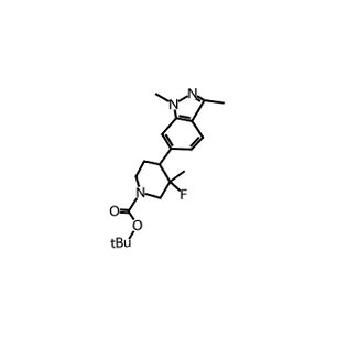 Cc1nn(C)c2cc(C3CCN(C(=O)OC(C)(C)C)CC3(C)F)ccc12